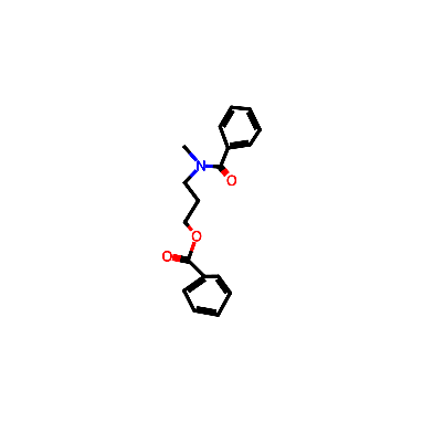 CN(CCCOC(=O)c1ccccc1)C(=O)c1ccccc1